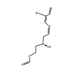 C=C/C(Br)=C\N=C/C[C@@H](O)CCOP=O